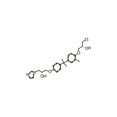 Cc1cc(C(C)(C)c2ccc(OC[C@H](O)Cn3ccnc3)cc2)ccc1OC[C@@H](O)CCl